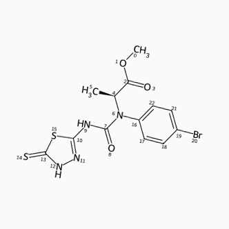 COC(=O)[C@H](C)N(C(=O)Nc1n[nH]c(=S)s1)c1ccc(Br)cc1